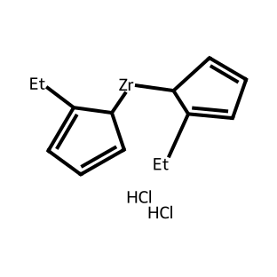 CCC1=CC=C[CH]1[Zr][CH]1C=CC=C1CC.Cl.Cl